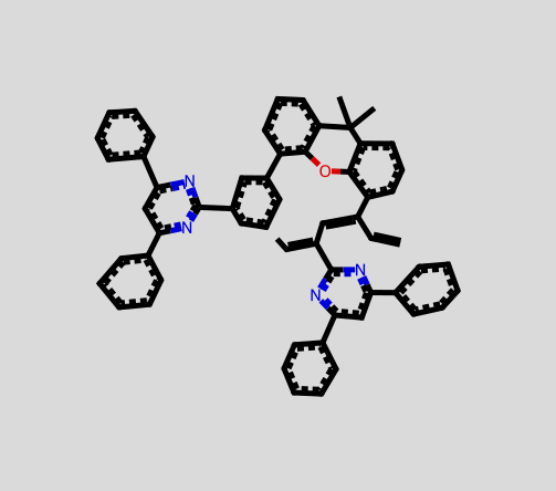 C=C/C(=C\C(=C/C)c1nc(-c2ccccc2)cc(-c2ccccc2)n1)c1cccc2c1Oc1c(-c3cccc(-c4nc(-c5ccccc5)cc(-c5ccccc5)n4)c3)cccc1C2(C)C